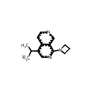 CC(C)c1cnc(N2CCC2)c2cnccc12